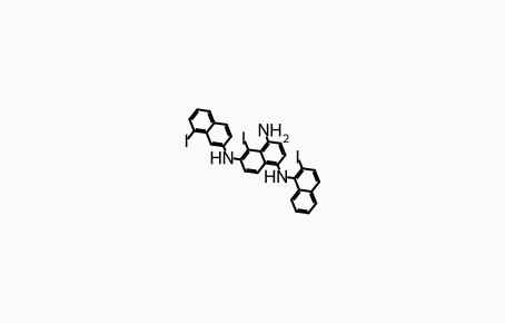 Nc1ccc(Nc2c(I)ccc3ccccc23)c2ccc(Nc3ccc4cccc(I)c4c3)c(I)c12